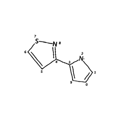 C1=C[N]C(c2ccsn2)=C1